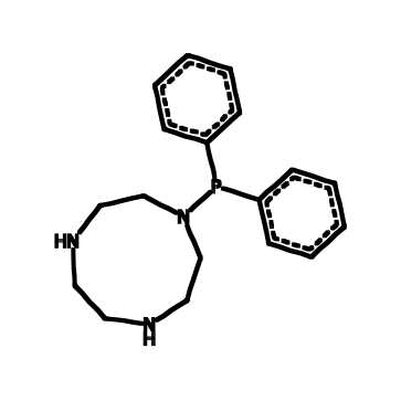 c1ccc(P(c2ccccc2)N2CCNCCNCC2)cc1